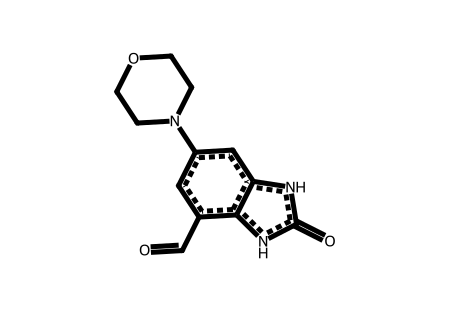 O=Cc1cc(N2CCOCC2)cc2[nH]c(=O)[nH]c12